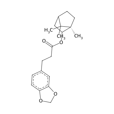 CC1(C)C2CC[C@@]1(C)C(OC(=O)CCc1ccc3c(c1)OCO3)C2